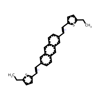 CCc1ccc(/C=C/c2ccc3cc4cc(/C=C/c5ccc(CC)s5)ccc4cc3c2)s1